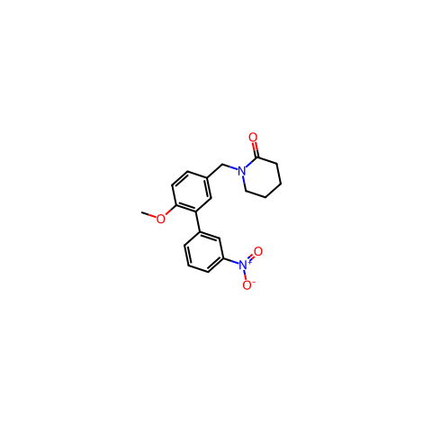 COc1ccc(CN2CCCCC2=O)cc1-c1cccc([N+](=O)[O-])c1